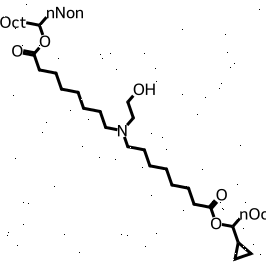 CCCCCCCCCC(CCCCCCCC)OC(=O)CCCCCCCN(CCO)CCCCCCCC(=O)OC(CCCCCCCC)C1CC1